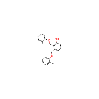 Cc1ccccc1OCc1cccc(O)c1COc1ccccc1C